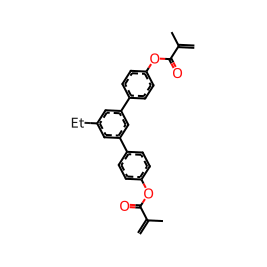 C=C(C)C(=O)Oc1ccc(-c2cc(CC)cc(-c3ccc(OC(=O)C(=C)C)cc3)c2)cc1